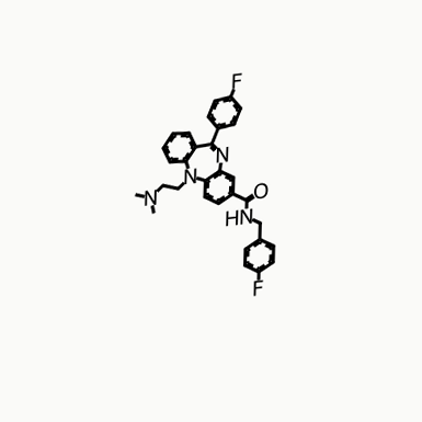 CN(C)CCN1c2ccc(C(=O)NCc3ccc(F)cc3)cc2N=C(c2ccc(F)cc2)c2ccccc21